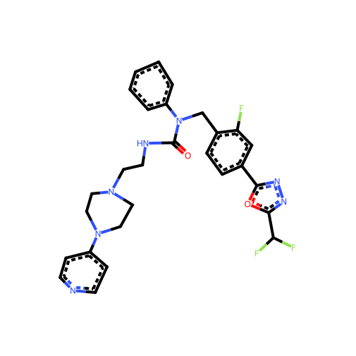 O=C(NCCN1CCN(c2ccncc2)CC1)N(Cc1ccc(-c2nnc(C(F)F)o2)cc1F)c1ccccc1